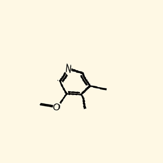 COc1[c]ncc(C)c1C